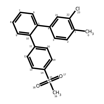 Cc1ccc(-c2ccccc2-c2ccc(S(C)(=O)=O)cc2)cc1Cl